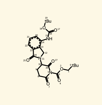 CC(C)(C)COC(=O)N1C(=O)CCC(N2Cc3c(NC(=O)OC(C)(C)C)cccc3C2=O)C1=O